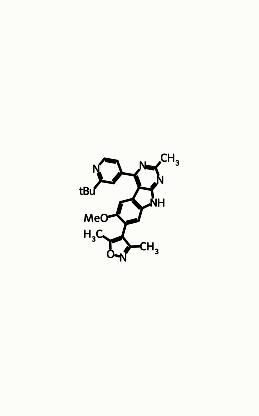 COc1cc2c(cc1-c1c(C)noc1C)[nH]c1nc(C)nc(-c3ccnc(C(C)(C)C)c3)c12